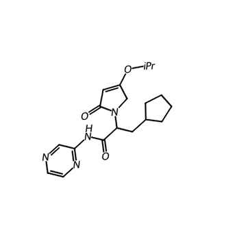 CC(C)OC1=CC(=O)N(C(CC2CCCC2)C(=O)Nc2cnccn2)C1